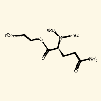 CCCCCCCCCCCCOC(=O)[C@H](CCC(N)=O)N(CCCC)CCCC